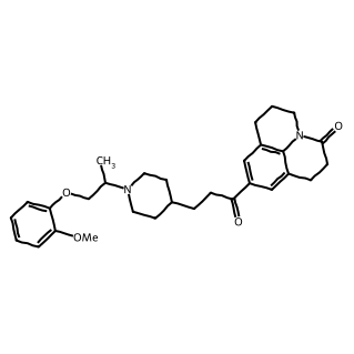 COc1ccccc1OCC(C)N1CCC(CCC(=O)c2cc3c4c(c2)CCC(=O)N4CCC3)CC1